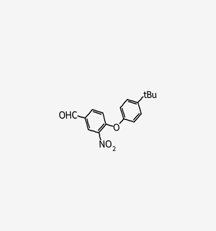 CC(C)(C)c1ccc(Oc2ccc(C=O)cc2[N+](=O)[O-])cc1